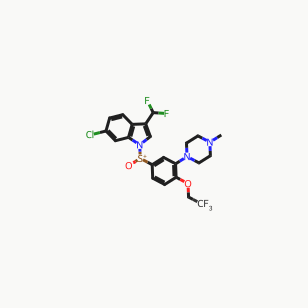 CN1CCN(c2cc([S+]([O-])n3cc(C(F)F)c4ccc(Cl)cc43)ccc2OCC(F)(F)F)CC1